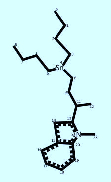 CCC[CH2][Sn]([CH2]CCC)[CH2]CC(C)c1cc2ccccc2n1C